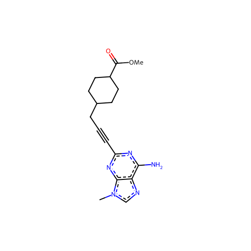 COC(=O)C1CCC(CC#Cc2nc(N)c3ncn(C)c3n2)CC1